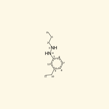 CCCNNc1cccc(CC)c1